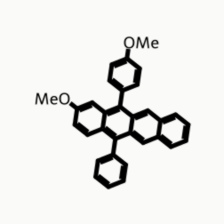 COc1ccc(-c2c3cc(OC)ccc3c(-c3ccccc3)c3cc4ccccc4cc23)cc1